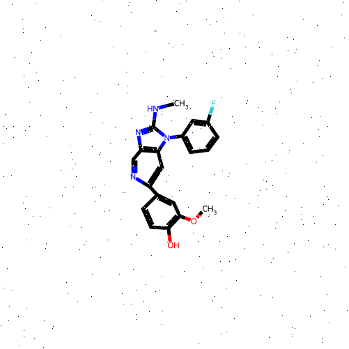 CNc1nc2cnc(-c3ccc(O)c(OC)c3)cc2n1-c1cccc(F)c1